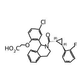 O=C(O)COc1ccc(Cl)cc1C1c2ccccc2CCN1C(=O)[C@@H]1C[C@H]1c1ccccc1F